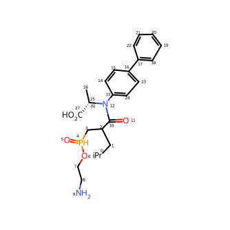 CC(C)CC(C[PH](=O)OCCN)C(=O)N(c1ccc(-c2ccccc2)cc1)[C@@H](C)C(=O)O